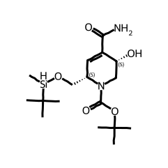 C[SiH](OC[C@@H]1C=C(C(N)=O)[C@H](O)CN1C(=O)OC(C)(C)C)C(C)(C)C